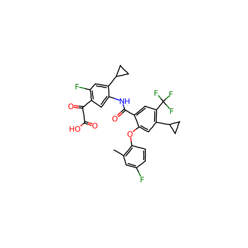 Cc1cc(F)ccc1Oc1cc(C2CC2)c(C(F)(F)F)cc1C(=O)Nc1cc(C(=O)C(=O)O)c(F)cc1C1CC1